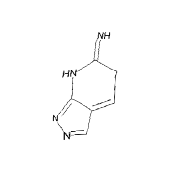 N=C1CC=C2C=NN=C2N1